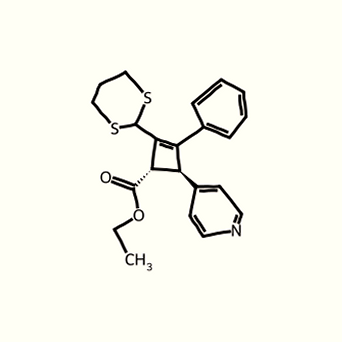 CCOC(=O)[C@@H]1C(C2SCCCS2)=C(c2ccccc2)[C@H]1c1ccncc1